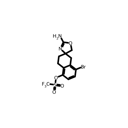 NC1=NC2(CCc3c(OS(=O)(=O)C(F)(F)F)ccc(Br)c3C2)CO1